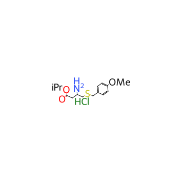 COc1ccc(CSCC(N)CC(=O)OC(C)C)cc1.Cl